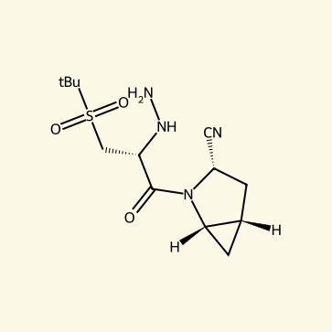 CC(C)(C)S(=O)(=O)C[C@H](NN)C(=O)N1[C@H](C#N)C[C@@H]2C[C@@H]21